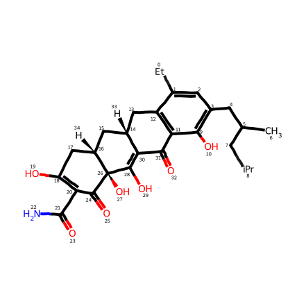 CCc1cc(CC(C)CC(C)C)c(O)c2c1C[C@H]1C[C@H]3CC(O)=C(C(N)=O)C(=O)[C@@]3(O)C(O)=C1C2=O